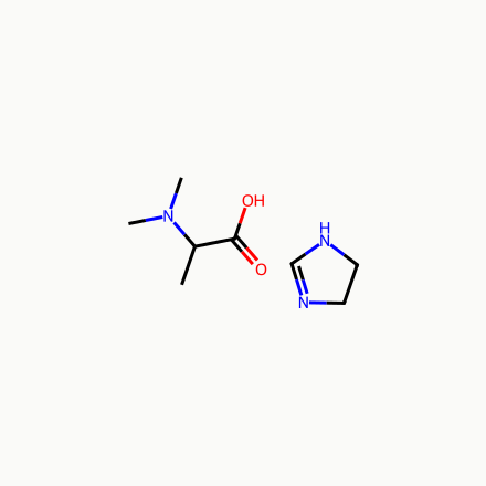 C1=NCCN1.CC(C(=O)O)N(C)C